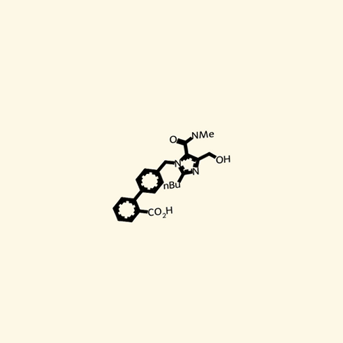 CCCCc1nc(CO)c(C(=O)NC)n1Cc1ccc(-c2ccccc2C(=O)O)cc1